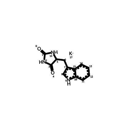 O=C1NC(=O)C(Cc2c[nH]c3ccccc23)N1.[K]